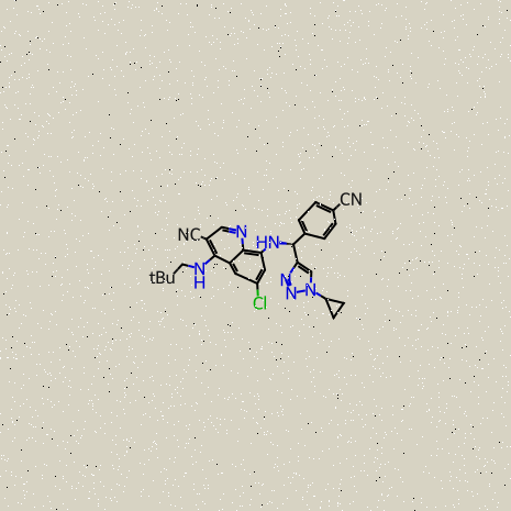 CC(C)(C)CNc1c(C#N)cnc2c(N[C@@H](c3ccc(C#N)cc3)c3cn(C4CC4)nn3)cc(Cl)cc12